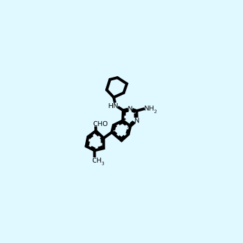 Cc1ccc(C=O)c(-c2ccc3nc(N)nc(NC4CCCCC4)c3c2)c1